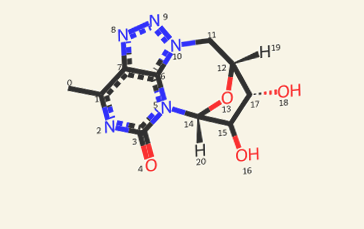 Cc1nc(=O)n2c3c1nnn3C[C@H]1O[C@@H]2C(O)[C@H]1O